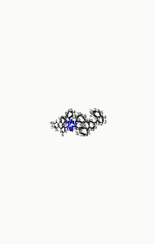 c1ccc(-c2cccc(-c3nc(-c4cccc(-c5ccc(-c6cccc7ccccc67)cc5-c5ccccc5)c4)nc(-c4ccccc4-c4ccccc4)n3)c2)cc1